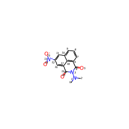 CN(C)N1C(=O)c2cccc3cc([N+](=O)[O-])cc(c23)C1=O